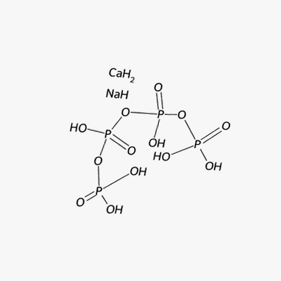 O=P(O)(O)OP(=O)(O)OP(=O)(O)OP(=O)(O)O.[CaH2].[NaH]